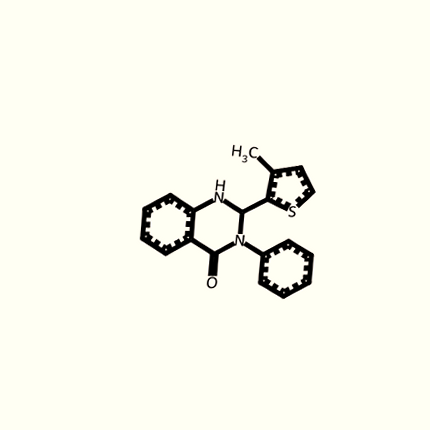 Cc1ccsc1C1Nc2ccccc2C(=O)N1c1ccccc1